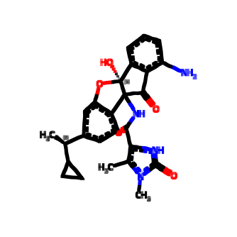 Cc1c(C(=O)NC23C(=O)c4c(N)cccc4[C@]2(O)Oc2cc([C@H](C)C4CC4)ccc23)[nH]c(=O)n1C